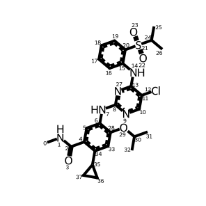 CNC(=O)c1cc(Nc2ncc(Cl)c(Nc3ccccc3S(=O)(=O)C(C)C)n2)c(OC(C)C)cc1C1CC1